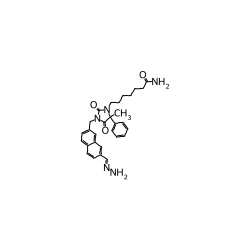 CC1(c2ccccc2)C(=O)N(Cc2ccc3ccc(C=NN)cc3c2)C(=O)N1CCCCCCC(N)=O